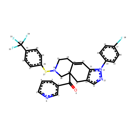 O=C(c1cccnc1)C12Cc3cnn(-c4ccc(F)cc4)c3C=C1CCN(Sc1ccc(C(F)(F)F)cc1)C2